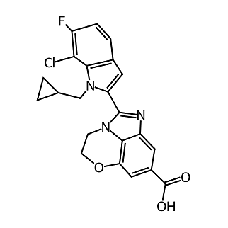 O=C(O)c1cc2c3c(c1)nc(-c1cc4ccc(F)c(Cl)c4n1CC1CC1)n3CCO2